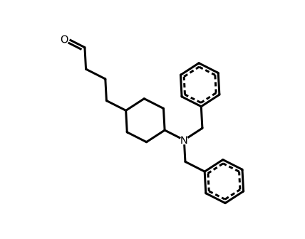 O=CCCCC1CCC(N(Cc2ccccc2)Cc2ccccc2)CC1